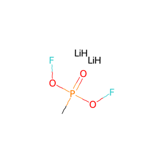 CP(=O)(OF)OF.[LiH].[LiH]